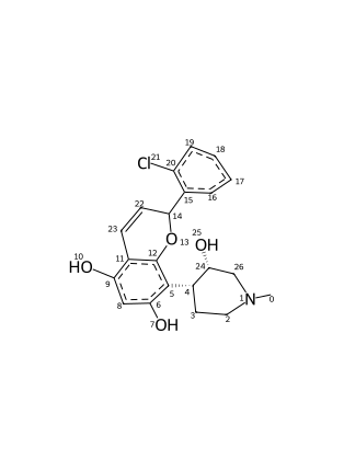 CN1CC[C@H](c2c(O)cc(O)c3c2OC(c2ccccc2Cl)C=C3)[C@H](O)C1